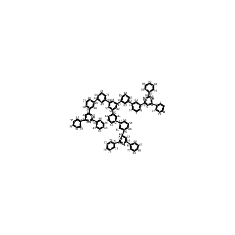 c1ccc(-c2cc(-c3cccc(-c4cccc(-c5cc(-c6cccc(-c7cccc(-c8cc(-c9ccccc9)nc(-c9ccccc9)n8)c7)c6)cc(-c6cccc(-c7cccc(-c8cc(-c9ccccc9)nc(-c9ccccc9)n8)c7)c6)c5)c4)c3)nc(-c3ccccc3)n2)cc1